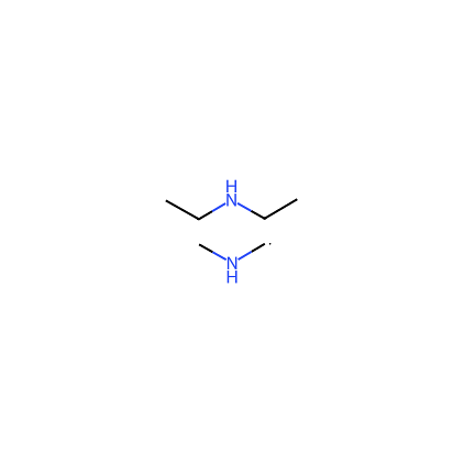 CCNCC.[CH2]NC